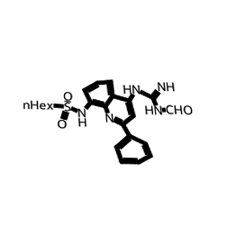 CCCCCCS(=O)(=O)Nc1cccc2c(NC(=N)NC=O)cc(-c3ccccc3)nc12